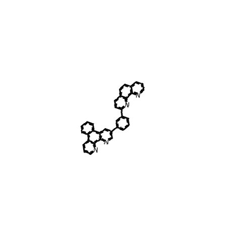 c1cc(-c2cnc3c(c2)c2ccccc2c2cccnc23)cc(-c2ccc3ccc4cccnc4c3n2)c1